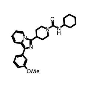 COc1cccc(-c2nc(C3CCN(C(=O)NC4CCCCC4)CC3)n3ccccc23)c1